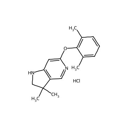 Cc1cccc(C)c1Oc1cc2c(cn1)C(C)(C)CN2.Cl